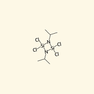 CC(C)N1[Si](Cl)(Cl)N(C(C)C)[Si]1(Cl)Cl